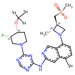 [2H]C([2H])([2H])O[C@@H]1CCN(c2ncnc(Nc3cc4c(C(C)C)ccc(N5C[C@H](CS(C)(=O)=O)[C@H]5C)c4cn3)n2)C[C@@H]1F